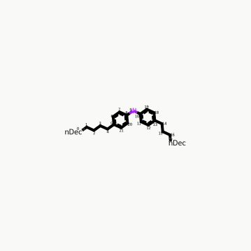 CCCCCCCCCCCCCCc1ccc([I+]c2ccc(CCCCCCCCCCCCC)cc2)cc1